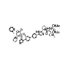 COC(=O)NC(C(=O)N1CCCC1c1ncc(-c2ccc(-c3ccc(-c4cnc([C@@H]5CCCN5C(=O)[C@H](Cc5ccccn5)OC(N)=O)[nH]4)cc3)cc2)[nH]1)[C@@H](C)OC